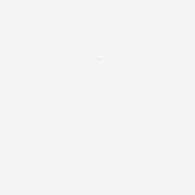 Cc1nc(C#CCCc2ccccc2)cs1